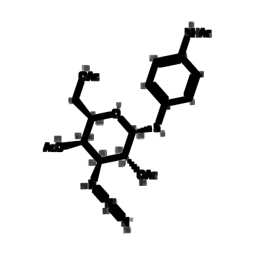 CC(=O)Nc1ccc(S[C@H]2O[C@H](COC(C)=O)[C@H](OC(C)=O)[C@H](N=[N+]=[N-])[C@H]2OC(C)=O)cc1